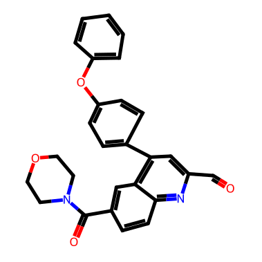 O=Cc1cc(-c2ccc(Oc3ccccc3)cc2)c2cc(C(=O)N3CCOCC3)ccc2n1